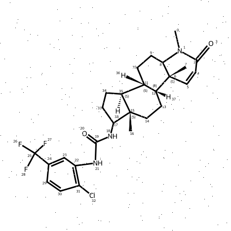 CN1C(=O)C=C[C@@]2(C)C1CC[C@@H]1[C@H]2CC[C@]2(C)C(NC(=O)Nc3cc(C(F)(F)F)ccc3Cl)CC[C@@H]12